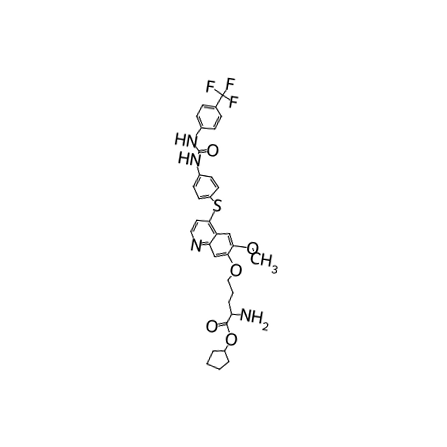 COc1cc2c(Sc3ccc(NC(=O)Nc4ccc(C(F)(F)F)cc4)cc3)ccnc2cc1OCCCC(N)C(=O)OC1CCCC1